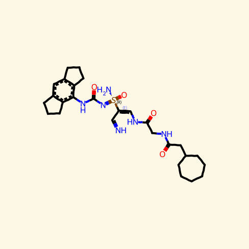 N=C/C(=C\NC(=O)CNC(=O)CC1CCCCCC1)[S@](N)(=O)=NC(=O)Nc1c2c(cc3c1CCC3)CCC2